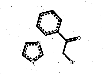 O=C(CBr)c1ccccc1.c1cscn1